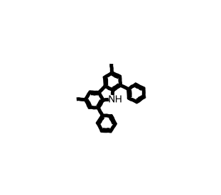 Cc1cc(-c2ccccc2)c2[nH]c3c(-c4ccccc4)cc(C)cc3c2c1